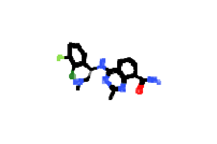 CNC[C@@H](Nc1nc(C)nc2c(C(N)=O)cccc12)c1cccc(F)c1Cl